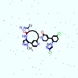 CCC(N)[C@@H]1CCC[C@H](N2CCC(C3=C(n4cc(Cl)nn4)CCC(Cl)=C3)=CC2=O)c2cc(ccn2)-c2c(cnn2C)NC1=O